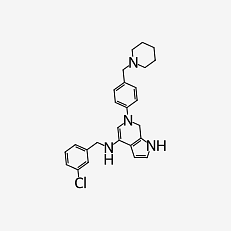 Clc1cccc(CNC2=CN(c3ccc(CN4CCCCC4)cc3)Cc3[nH]ccc32)c1